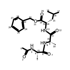 CC(=O)N[C@@H](C)C(=O)N[C@@H](C)C(=O)N[C@@H](CC(C)C)C(=O)OCc1ccccc1